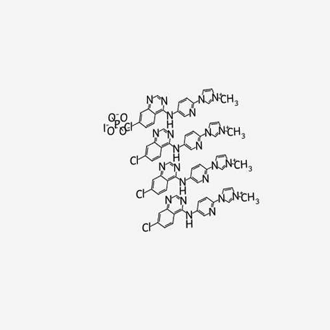 C[n+]1ccn(-c2ccc(Nc3ncnc4cc(Cl)ccc34)cn2)c1.C[n+]1ccn(-c2ccc(Nc3ncnc4cc(Cl)ccc34)cn2)c1.C[n+]1ccn(-c2ccc(Nc3ncnc4cc(Cl)ccc34)cn2)c1.C[n+]1ccn(-c2ccc(Nc3ncnc4cc(Cl)ccc34)cn2)c1.O=P([O-])([O-])[O-].[I-]